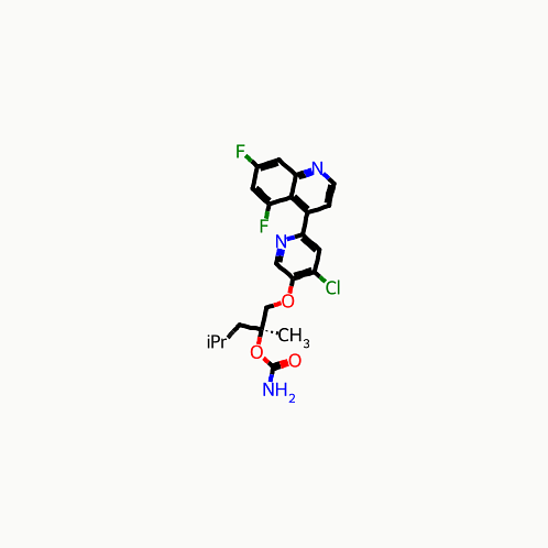 CC(C)C[C@@](C)(COc1cnc(-c2ccnc3cc(F)cc(F)c23)cc1Cl)OC(N)=O